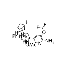 COC1CN([C@H]2C[C@@H]3CC2C3/C(=C/C(=N)c2cnc(N)c(OC(F)F)c2)NC(C)C)C1